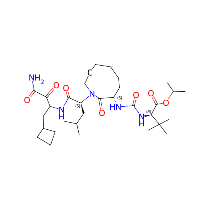 CC(C)C[C@@H](C(=O)NC(CC1CCC1)C(=O)C(N)=O)N1CCCCCC[C@H](NC(=O)N[C@@H](C(=O)OC(C)C)C(C)(C)C)C1=O